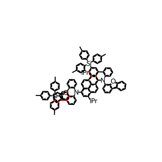 Cc1ccc([Si](c2ccc(C)cc2)(c2ccc(C)cc2)c2cccc(-c3ccccc3N(c3cc(C(C)C)c4ccc5c(N(c6ccccc6-c6cccc([Si](c7ccc(C)cc7)(c7ccc(C)cc7)c7ccc(C)cc7)c6)c6cccc7c6oc6ccccc67)cc(C(C)C)c6ccc3c4c65)c3cccc4c3oc3ccccc34)c2)cc1